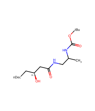 CCCCCCCCCCC[C@H](O)CC(=O)NCC(C)NC(=O)OC(C)(C)C